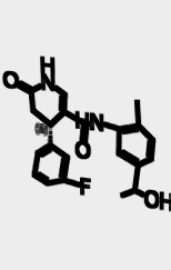 Cc1ccc(C(C)O)cc1NC(=O)C1=CNC(=O)C[C@H]1c1cccc(F)c1